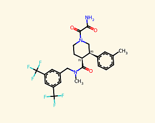 Cc1cccc([C@@H]2CN(C(=O)C(N)=O)CC[C@@H]2C(=O)N(C)Cc2cc(C(F)(F)F)cc(C(F)(F)F)c2)c1